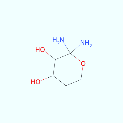 NC1(N)OCCC(O)C1O